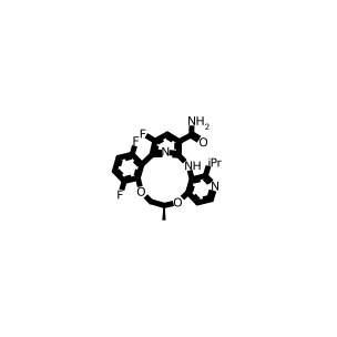 CC(C)c1nccc2c1Nc1nc(c(F)cc1C(N)=O)-c1c(F)ccc(F)c1OC[C@H](C)O2